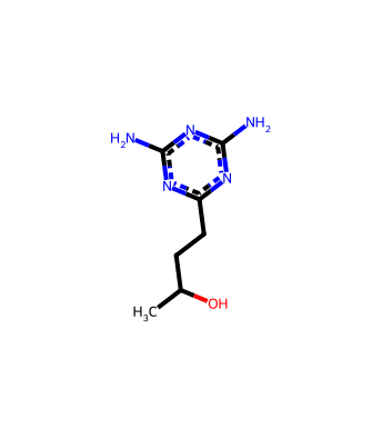 CC(O)CCc1nc(N)nc(N)n1